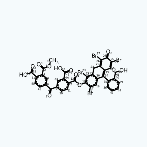 COC(=O)c1cc(C(=O)c2ccc(C(=O)Oc3c(Br)cc4c(c3Br)CC3=C(Br)C(=O)C(Br)=CC3=C4c3ccccc3C(=O)O)c(C(=O)O)c2)ccc1C(=O)O